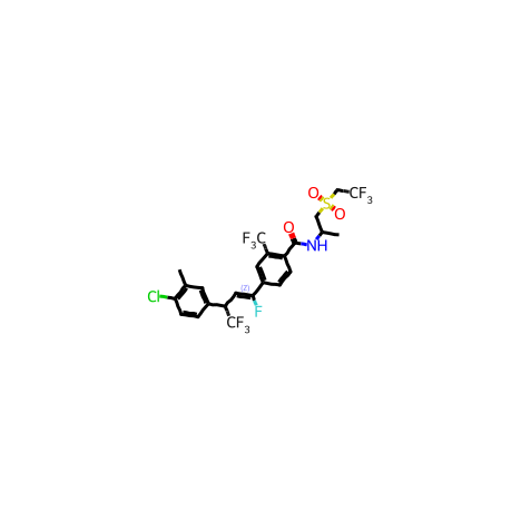 Cc1cc(C(/C=C(\F)c2ccc(C(=O)NC(C)CS(=O)(=O)CC(F)(F)F)c(C(F)(F)F)c2)C(F)(F)F)ccc1Cl